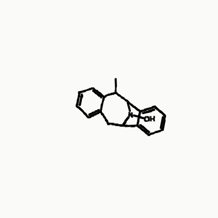 CC1c2ccccc2CC2c3ccccc3C1N2O